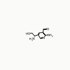 Nc1ncc([C@H](N)CO)cc1C=O